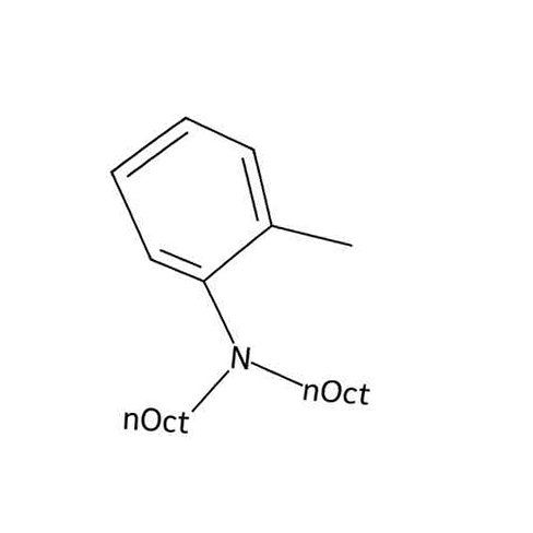 CCCCCCCCN(CCCCCCCC)c1ccccc1C